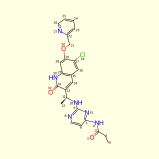 CCC(=O)Nc1ccnc(N[C@@H](C)c2cc3cc(Cl)c(OCc4ccccn4)cc3[nH]c2=O)n1